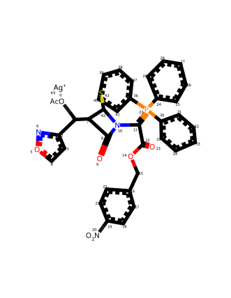 CC(=O)OC(c1ccon1)C1C(=O)N(C(C(=O)OCc2ccc([N+](=O)[O-])cc2)=P(c2ccccc2)(c2ccccc2)c2ccccc2)C1[S-].[Ag+]